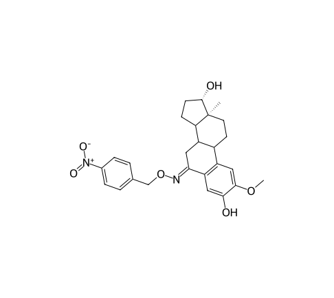 COc1cc2c(cc1O)/C(=N/OCc1ccc([N+](=O)[O-])cc1)CC1C2CC[C@@]2(C)C1CC[C@@H]2O